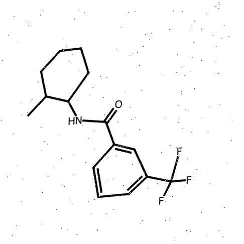 CC1CCCCC1NC(=O)c1cccc(C(F)(F)F)c1